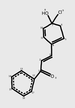 O=C(C=CC1=CCC(O)(Cl)C=C1)c1ccccc1